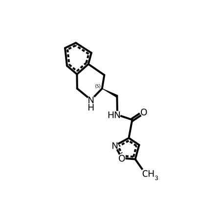 Cc1cc(C(=O)NC[C@@H]2Cc3ccccc3CN2)no1